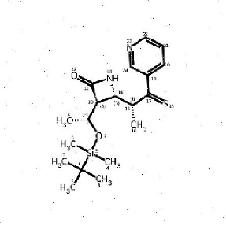 C[C@@H](O[Si](C)(C)C(C)(C)C)[C@H]1C(=O)N[C@@H]1[C@@H](C)C(=S)c1cccnc1